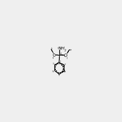 COC(N)(OC)c1c[c]ccc1